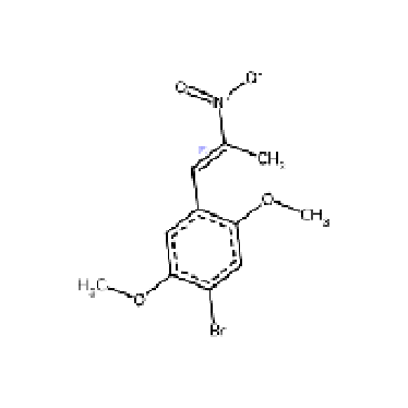 COc1cc(/C=C(\C)[N+](=O)[O-])c(OC)cc1Br